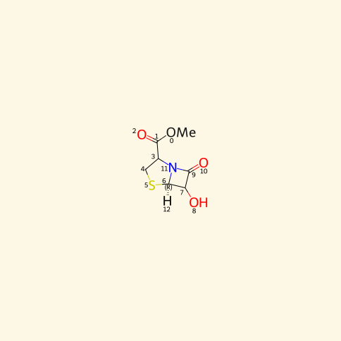 COC(=O)C1CS[C@@H]2C(O)C(=O)N12